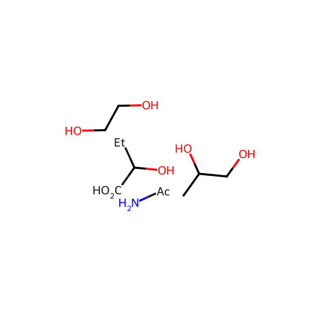 CC(N)=O.CC(O)CO.CCC(O)C(=O)O.OCCO